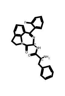 N[C@@H](Cc1ccccc1)C(=O)N[C@@H]1N=C(c2ccccc2F)c2cccc3c2N(CC3)C1=O